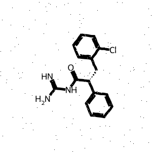 N=C(N)NC(=O)[C@H](Cc1ccccc1Cl)c1ccccc1